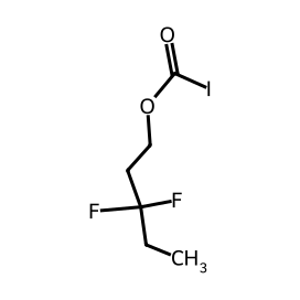 CCC(F)(F)CCOC(=O)I